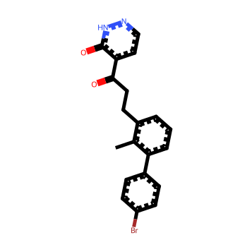 Cc1c(CCC(=O)c2ccn[nH]c2=O)cccc1-c1ccc(Br)cc1